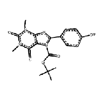 Cn1c(=O)c2c(nc(-c3ccc(O)cc3)n2C(=O)OC(C)(C)C)n(C)c1=O